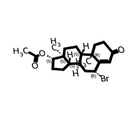 CC(=O)O[C@H]1CC[C@H]2[C@@H]3C[C@@H](Br)C4=CC(=O)CC[C@]4(C)[C@H]3CC[C@]12C